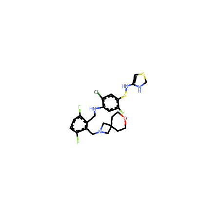 Fc1cc(NCc2c(F)ccc(F)c2CN2CC3(CCOCC3)C2)c(Cl)cc1SNC1=CSCN1